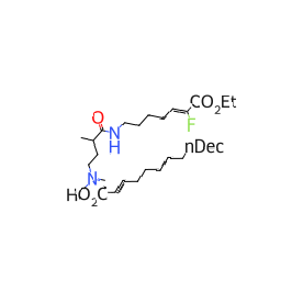 CCCCCCCCCCCCCCCC=CC(=O)O.CCOC(=O)C(F)=CCCCCNC(=O)C(C)CCN(C)C